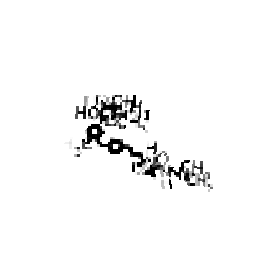 Cc1ccc([C@@H]2O[C@H](C(C)(C)O)[C@@H](O)[C@H](O)[C@H]2O)cc1Cc1ccc(CCCC(=O)NC2(C(=O)NCCN(C)C)CC2)cc1